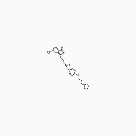 Clc1ccc2[nH]cc(CCCNSc3ccc(OCCCN4CCCC4)cc3)c2c1